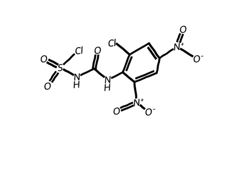 O=C(Nc1c(Cl)cc([N+](=O)[O-])cc1[N+](=O)[O-])NS(=O)(=O)Cl